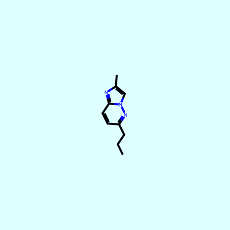 CCCc1ccc2nc(C)cn2n1